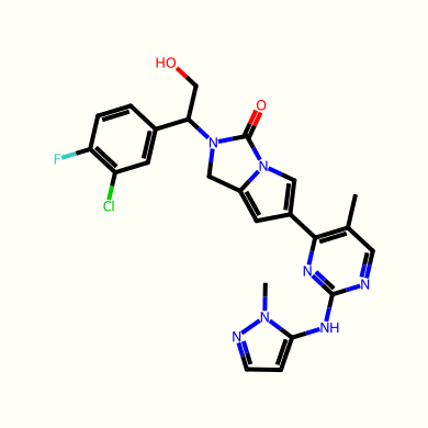 Cc1cnc(Nc2ccnn2C)nc1-c1cc2n(c1)C(=O)N(C(CO)c1ccc(F)c(Cl)c1)C2